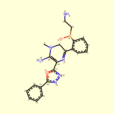 CN1CC(c2ccccc2[S+]([O-])CCN)=NC(c2nnc(-c3ccccc3)o2)=C1N